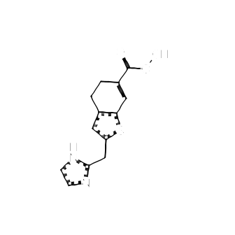 COC(=O)C1=Cc2sc(Cc3ncc[nH]3)cc2CC1